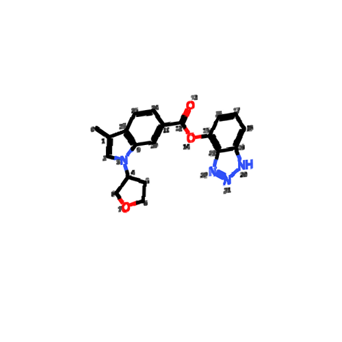 Cc1cn(C2CCOC2)c2cc(C(=O)Oc3cccc4[nH]nnc34)ccc12